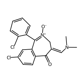 CN(C)/C=C1\C[N+]([O-])=C(c2ccccc2Cl)c2cc(Cl)ccc2C1=O